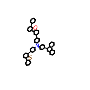 c1ccc(-c2cccc3c2oc2ccc(-c4ccc(N(c5ccc(-c6cc7ccccc7c7ccccc67)cc5)c5ccc(-c6cccc7c6sc6ccccc67)cc5)cc4)cc23)cc1